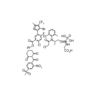 CC(C)OC(=O)c1cc(-c2nn(C)c(C(F)(F)F)c2Br)c(F)cc1Cl.CCc1cccc(C)c1N(C(=O)CCl)C(C)COC.CS(=O)(=O)c1ccc(C(=O)C2C(=O)CCCC2=O)c([N+](=O)[O-])c1.O=C(O)CNCP(=O)(O)O